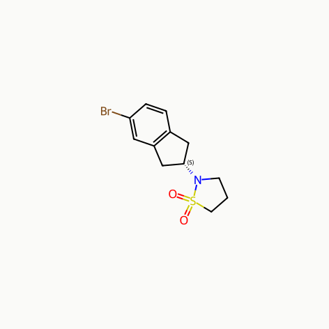 O=S1(=O)CCCN1[C@H]1Cc2ccc(Br)cc2C1